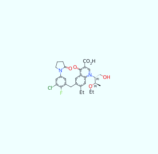 CCO[C@H](C)[C@@H](CO)n1cc(C(=O)O)c(=O)c2cc(Cc3cc(N4CCCC4=O)cc(Cl)c3F)c(CC)cc21